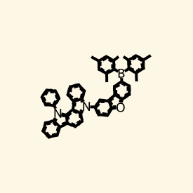 Cc1cc(C)c(B(c2ccc3oc4ccc(-n5c6ccccc6c6c5ccc5c7ccccc7n(-c7ccccc7)c56)cc4c3c2)c2c(C)cc(C)cc2C)c(C)c1